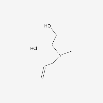 C=CCN(C)CCO.Cl